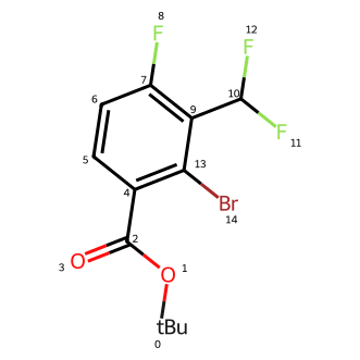 CC(C)(C)OC(=O)c1ccc(F)c(C(F)F)c1Br